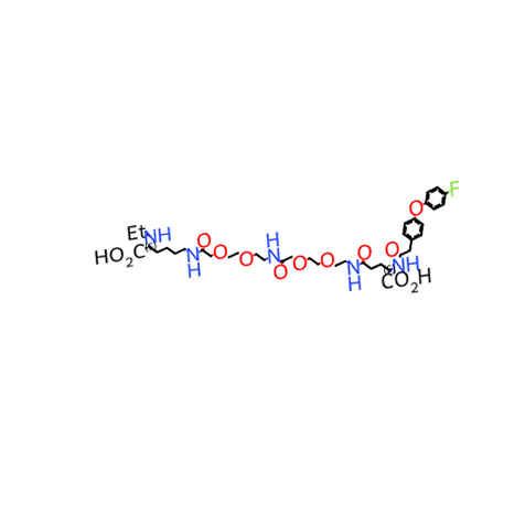 CCN[C@@H](CCCCNC(=O)COCCOCCNC(=O)COCCOCCNC(=O)CC[C@H](NC(=O)Cc1ccc(Oc2ccc(F)cc2)cc1)C(=O)O)C(=O)O